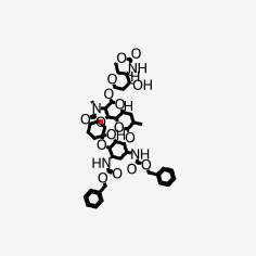 CC1C[C@@H]2OC(O[C@@H]3C[C@@H](O)[C@@H]4NC(=O)OCC4O3)C3C(OC(=O)N3C)C2O[C@@H]1O[C@@H]1C(NC(=O)OCc2ccccc2)C[C@@H](NC(=O)OCc2ccccc2)C2OC3(CCCCC3)O[C@H]21